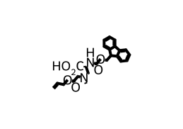 C=CCOC(=O)CN(C)C[C@H](NC(=O)OCC1c2ccccc2-c2ccccc21)C(=O)O